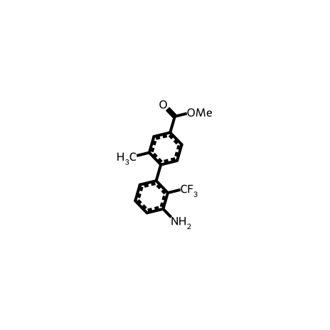 COC(=O)c1ccc(-c2cccc(N)c2C(F)(F)F)c(C)c1